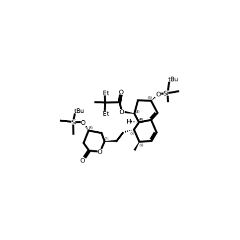 CCC(C)(CC)C(=O)O[C@H]1C[C@H](O[Si](C)(C)C(C)(C)C)C=C2C=C[C@@H](C)[C@H](CC[C@@H]3C[C@@H](O[Si](C)(C)C(C)(C)C)CC(=O)O3)[C@H]21